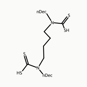 CCCCCCCCCCN(CCCCN(CCCCCCCCCC)C(=S)S)C(=S)S